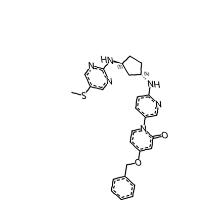 CSc1cnc(N[C@H]2CC[C@H](Nc3ccc(-n4ccc(OCc5ccccc5)cc4=O)cn3)C2)nc1